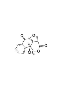 C[C@]12COC(=O)c3coc(c31)C(=O)c1ccccc12